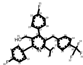 CC(C)c1nc(-c2ccc(F)cc2)c(CO)c(-c2ccc(F)cc2)c1Cc1ccc(C(F)(F)F)cc1